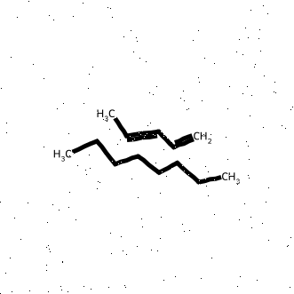 C=CC=CC.CCCCCCCC